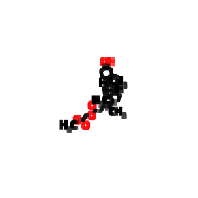 COC(=O)COC(=O)CC[C@@H](C)[C@H]1CC[C@H]2[C@@H]3CCC4C[C@H](O)CC[C@]4(C)[C@H]3CC[C@]12C